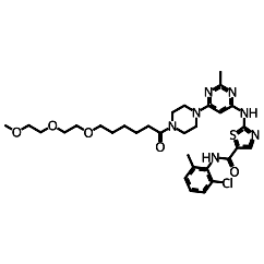 COCCOCCOCCCCCC(=O)N1CCN(c2cc(Nc3ncc(C(=O)Nc4c(C)cccc4Cl)s3)nc(C)n2)CC1